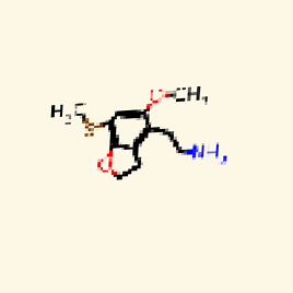 COc1cc(SC)c2c(c1CCN)CCO2